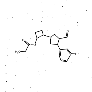 CCC(=O)OC1CCC1N1CC(C=O)C(c2cccc(F)c2)C1